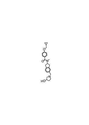 CN(C(=O)c1ccc(OCC2CC2)cc1)[C@@H]1Cc2ccc(CN3CC[C@@H](O)C3)cc2C1